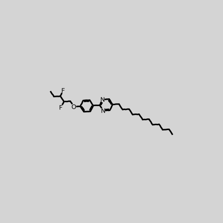 CCCCCCCCCCCCc1cnc(-c2ccc(OCC(F)C(F)CC)cc2)nc1